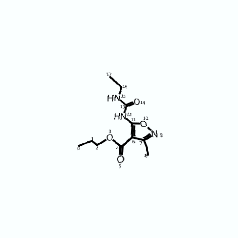 CCCOC(=O)c1c(C)noc1NC(=O)NCC